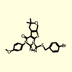 COc1ccc(-n2c(=O)c3c4c(sc3n3c(SCc5ccc(Br)cc5)nnc23)COC(C)(C)C4)cc1